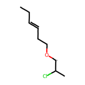 CCC=CCCO[CH]C(C)Cl